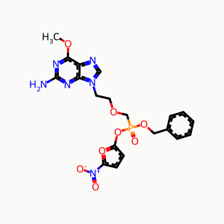 COc1nc(N)nc2c1ncn2CCOCP(=O)(OCc1ccccc1)Oc1ccc([N+](=O)[O-])o1